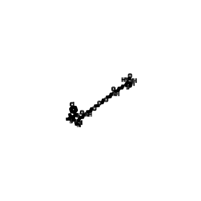 Cc1sc2c(c1C)C(c1ccc(Cl)cc1)=NC(CC(=O)NCCCOCCOCCOCCCNC(=O)CCCC[C@H]1SC[C@H]3NC(=O)NC31)c1nncn1-2